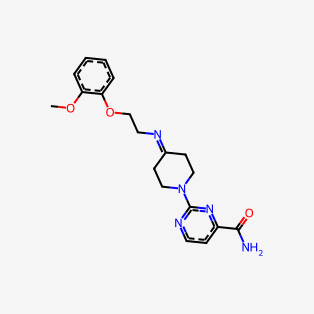 COc1ccccc1OCCN=C1CCN(c2nccc(C(N)=O)n2)CC1